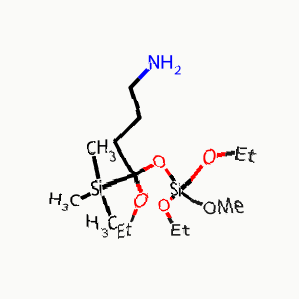 CCOC(CCCN)(O[Si](OC)(OCC)OCC)[Si](C)(C)C